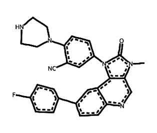 Cn1c(=O)n(-c2ccc(N3CCNCC3)c(C#N)c2)c2c3cc(-c4ccc(F)cc4)ccc3ncc21